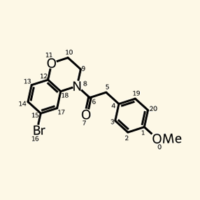 COc1ccc(CC(=O)N2CCOc3ccc(Br)cc32)cc1